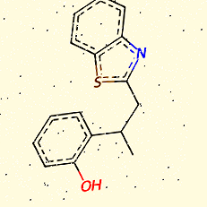 CC(Cc1nc2ccccc2s1)c1ccccc1O